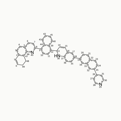 C1=Cc2ccc3ccc(-c4ccc(C5C=Cc6cc(-c7ccc8ccc(-c9ccncc9)cc8c7)ccc6N5)c5ccccc45)nc3c2CC1